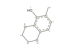 Cc1ccc2c(c1O)OCCO2